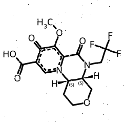 COc1c2n(cc(C(=O)O)c1=O)[C@H]1CCOC[C@H]1N(CC(F)(F)F)C2=O